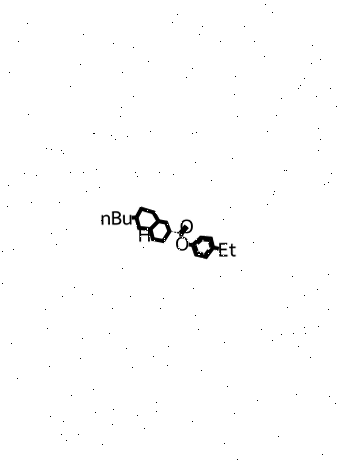 CCCCC1CCC2C[C@H](C(=O)Oc3ccc(CC)cc3)CC[C@@H]2C1